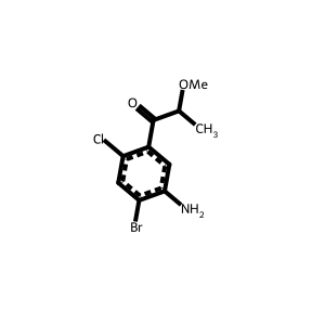 COC(C)C(=O)c1cc(N)c(Br)cc1Cl